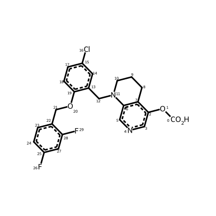 O=C(O)Oc1cncc2c1CCCN2Cc1cc(Cl)ccc1OCc1ccc(F)cc1F